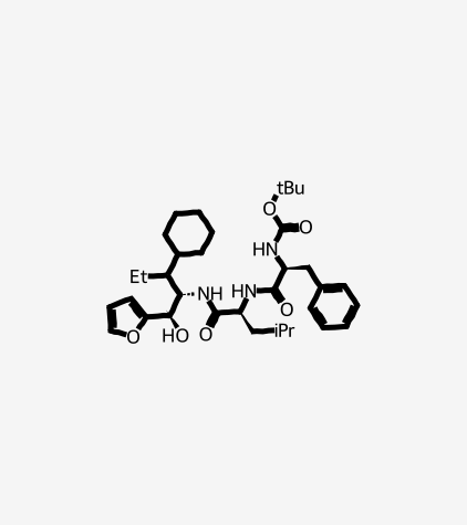 CCC(C1CCCCC1)[C@H](NC(=O)[C@H](CC(C)C)NC(=O)[C@H](Cc1ccccc1)NC(=O)OC(C)(C)C)[C@@H](O)c1ccco1